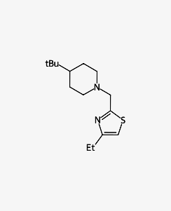 CCc1csc(CN2CCC(C(C)(C)C)CC2)n1